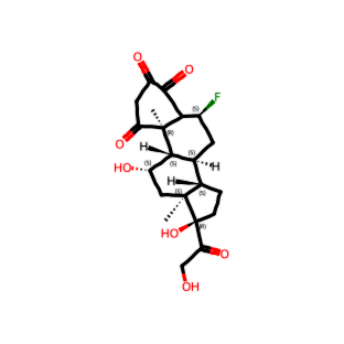 C[C@]12C(=O)CC(=O)C(=O)C1[C@@H](F)C[C@@H]1[C@@H]2[C@@H](O)C[C@@]2(C)[C@H]1CC[C@]2(O)C(=O)CO